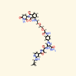 NC(=O)c1nn(-c2ccc(NC(=O)COCCOCCNc3cccc4c3C(=O)N(C3CCC(=O)NC3=O)C4=O)cc2)cc1NC(=O)c1coc(-c2ccnc(NCC3CC3)c2)n1